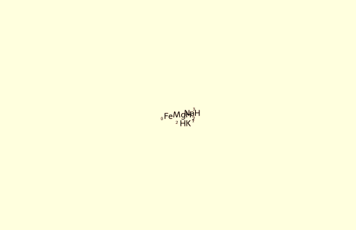 [Fe].[KH].[MgH2].[NaH]